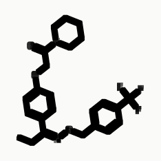 CCC(=NOCc1ccc(C(F)(F)F)cc1)c1ccc(OCC(=O)N2CCCCC2)cc1